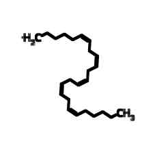 [CH2]CCCC/C=C\C/C=C\C/C=C\C/C=C\C/C=C\CCCCC